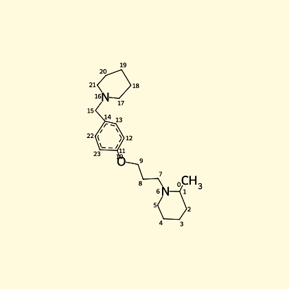 CC1CCCCN1CCCOc1ccc(CN2CCCCC2)cc1